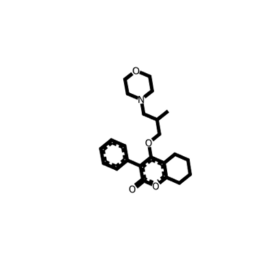 CC(COc1c2c(oc(=O)c1-c1ccccc1)CCCC2)CN1CCOCC1